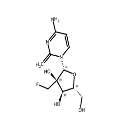 C=C1N=C(N)C=CN1[C@@H]1O[C@H](CO)[C@@H](O)[C@]1(O)CF